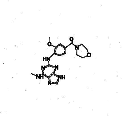 CNc1nc(Nc2ccc(C(=O)N3CCOCC3)cc2OC)nc2[nH]cnc12